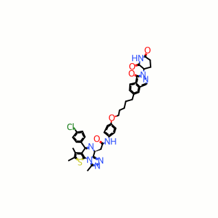 Cc1sc2c(c1C)C(c1ccc(Cl)cc1)=N[C@@H](CC(=O)Nc1ccc(OCCCCCc3ccc4c(=O)n(C5CCC(=O)NC5=O)ncc4c3)cc1)c1nnc(C)n1-2